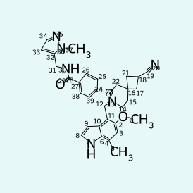 COc1cc(C)c2[nH]ccc2c1CN1CCC2(CC(C#N)C2)C[C@H]1c1ccc(C(=O)NCc2ccnn2C)cc1